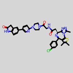 Cc1sc2c(c1C)C(c1ccc(Cl)cc1)=N[C@@H](CC(=O)NCC(=O)N1CCN(c3ccc(-c4ccc5c(c4)CC(=O)N5)cn3)CC1)c1nnc(C)n1-2